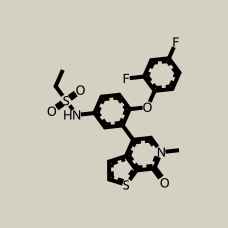 CCS(=O)(=O)Nc1ccc(Oc2ccc(F)cc2F)c(-c2cn(C)c(=O)c3sccc23)c1